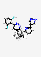 CC1(C)[C@H]2CC[C@@]1(c1cccc(-c3cn[nH]c3)n1)c1nnc(-c3c(F)cccc3F)cc12